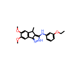 CCOc1cccc(Nc2[nH]nc3c2C(C)c2cc(OC)c(OC)cc2-3)c1